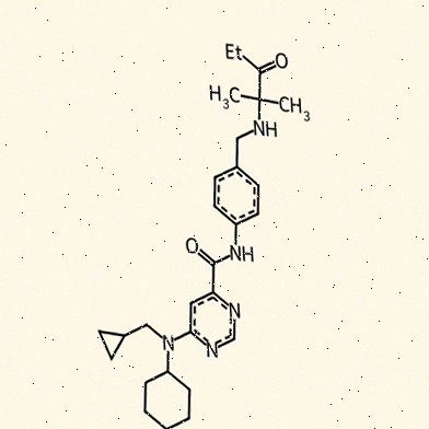 CCC(=O)C(C)(C)NCc1ccc(NC(=O)c2cc(N(CC3CC3)C3CCCCC3)ncn2)cc1